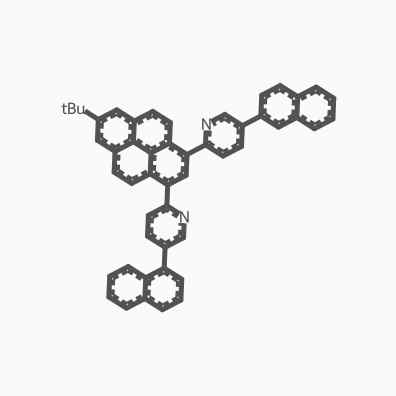 CC(C)(C)c1cc2ccc3c(-c4ccc(-c5ccc6ccccc6c5)cn4)cc(-c4ccc(-c5cccc6ccccc56)cn4)c4ccc(c1)c2c34